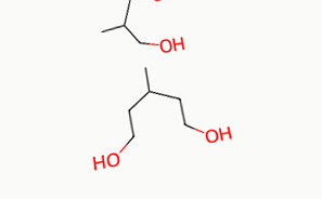 CC(CCO)CCO.CC(CO)CO